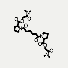 CN(C)C(=O)COC(=O)C1CCCN1C(=O)CCCCC(=O)N1CCCC1C(=O)OCC(=O)N(C)C